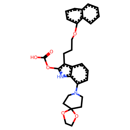 O=C(O)Oc1[nH]c2c(N3CCC4(CC3)OCCO4)cccc2c1CCCOc1cccc2ccccc12